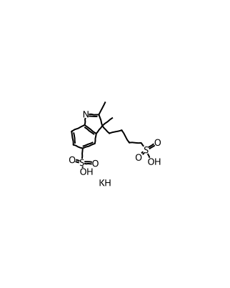 CC1=Nc2ccc(S(=O)(=O)O)cc2C1(C)CCCCS(=O)(=O)O.[KH]